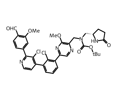 COc1cc(-c2nccc(-c3cccc(-c4cnc(CN(C[C@@H]5CCC(=O)N5)C(=O)OC(C)(C)C)c(OC)n4)c3Cl)c2Cl)ccc1C=O